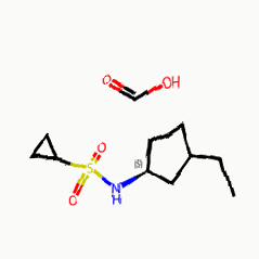 CCC1CC[C@H](NS(=O)(=O)C2CC2)C1.O=CO